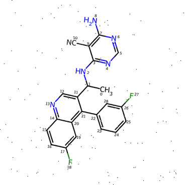 CC(Nc1ncnc(N)c1C#N)c1cnc2ccc(F)cc2c1-c1cccc(F)c1